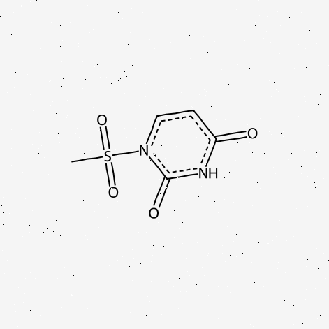 CS(=O)(=O)n1ccc(=O)[nH]c1=O